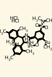 Cl.Cl.[CH2]=[Ru][C]1=C(OC(C)C)C(=C2NC(c3c(C)cc(C)cc3C)C(c3c(C)cc(C)cc3C)N2)CC(S(=O)(=O)N(C)C)=C1